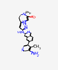 Cc1c(N)cncc1-c1ccc2cnc(Nc3cc4n(n3)CC(=O)N(C(C)C)CC4)cc2c1